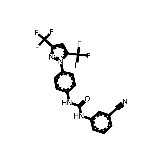 N#Cc1cccc(NC(=O)Nc2ccc(-n3nc(C(F)(F)F)cc3C(F)(F)F)cc2)c1